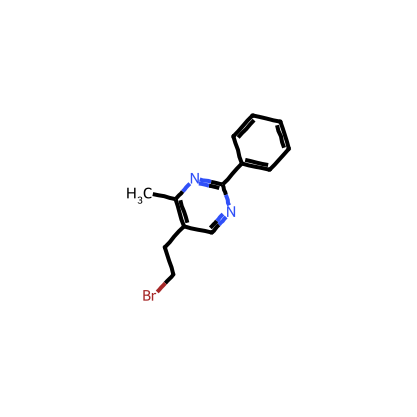 Cc1nc(-c2ccccc2)ncc1CCBr